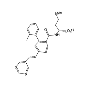 CSCC[C@H](NC(=O)c1ccc(C=Cc2cncnc2)cc1-c1ccccc1C)C(=O)O